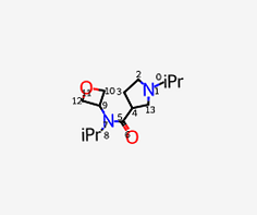 CC(C)N1CCC(C(=O)N(C(C)C)C2COC2)C1